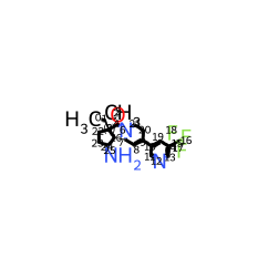 CC(C)[C@]1(C(=O)N2CC=C(c3cncc(C(F)(F)F)c3)CC2)CCC(N)C1